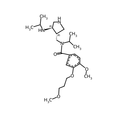 COCCCOc1cc(C(=O)N(C[C@H]2CNC[C@@H]2NC(C)C)C(C)C)ccc1OC